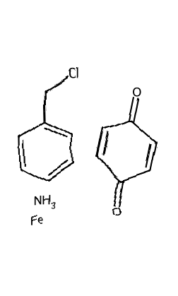 ClCc1ccccc1.N.O=C1C=CC(=O)C=C1.[Fe]